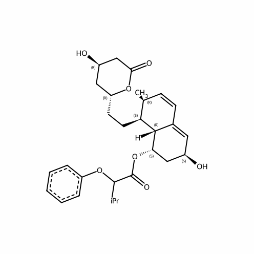 CC(C)C(Oc1ccccc1)C(=O)O[C@H]1C[C@H](O)C=C2C=C[C@H](C)[C@H](CC[C@@H]3C[C@@H](O)CC(=O)O3)[C@H]21